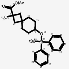 COC(=O)C1(C)CC2(CCC(O[Si](c3ccccc3)(c3ccccc3)C(C)(C)C)CC2)C1